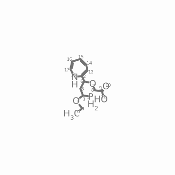 CCOC(P)CC(OCC(=O)O)C1=CC=CC=CN1